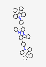 C1=CC(C2(c3ccccc3)c3ccccc3N(c3ccc(-c4ccc5c6c4c4ccccc4n6c4ccc(-c6ccc(N7c8ccccc8C(C8=CCCCC8)(c8ccccc8)c8ccccc87)cc6)c6c7ccccc7n5c64)cc3)c3ccccc32)=CCC1